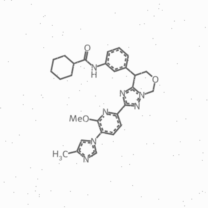 COc1nc(-c2nc3n(n2)COCC3c2cccc(NC(=O)C3CCCCC3)c2)ccc1-n1cnc(C)c1